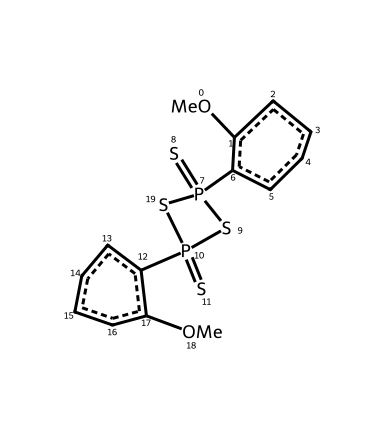 COc1ccccc1P1(=S)SP(=S)(c2ccccc2OC)S1